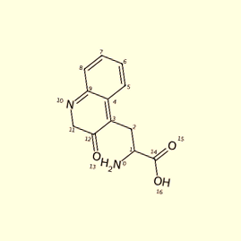 NC(CC1=c2ccccc2=NCC1=O)C(=O)O